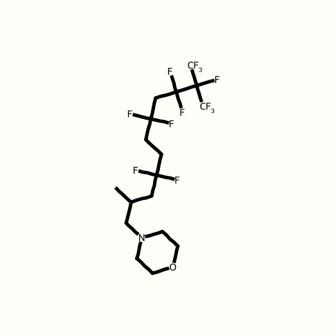 CC(CN1CCOCC1)CC(F)(F)CCC(F)(F)CC(F)(F)C(F)(C(F)(F)F)C(F)(F)F